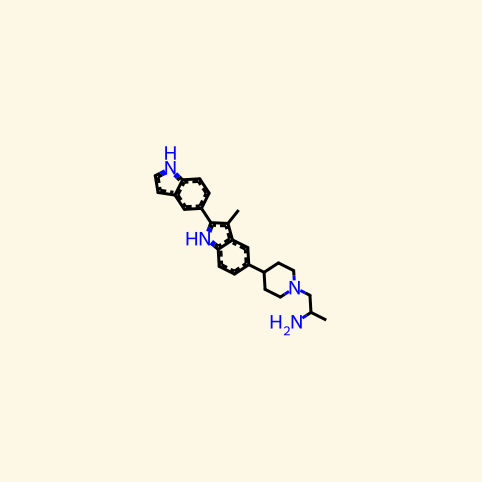 Cc1c(-c2ccc3[nH]ccc3c2)[nH]c2ccc(C3CCN(CC(C)N)CC3)cc12